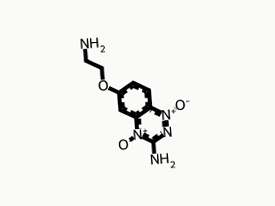 NCCOc1ccc2c(c1)[n+]([O-])c(N)n[n+]2[O-]